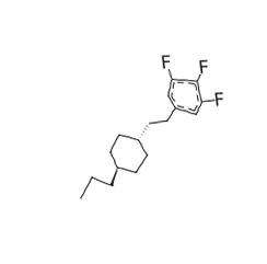 CCC[C@H]1CC[C@H](CCc2cc(F)c(F)c(F)c2)CC1